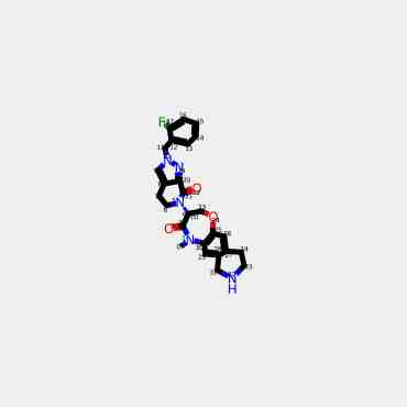 CN1C(=O)[C@@H](N2CCc3cn(Cc4ccccc4F)nc3C2=O)COc2cc3c(cc21)CNCC3